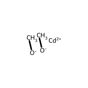 C[O-].C[O-].[Cd+2]